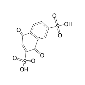 O=C1C=C(S(=O)(=O)O)C(=O)c2cc(S(=O)(=O)O)ccc21